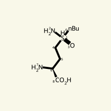 CCCC[SH](N)(=O)CC[C@H](N)C(=O)O